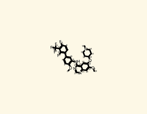 COc1ccc(-c2ccc(F)c(C(F)(F)F)c2F)cc1Nc1ncnc2cc(OC)c(OC3CCN(C)CC3)cc12